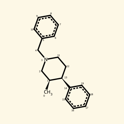 C[C@H]1CN(Cc2ccccc2)CC[C@H]1c1ccccc1